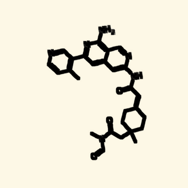 Cc1ccncc1-c1cc2cc(NC(=O)C=C3CCC(C)(CC(=O)N(C)C=O)CC3)ncc2c(N)n1